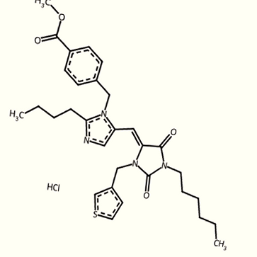 CCCCCCN1C(=O)/C(=C/c2cnc(CCCC)n2Cc2ccc(C(=O)OC)cc2)N(Cc2ccsc2)C1=O.Cl